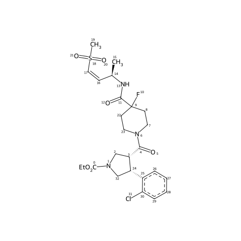 CCOC(=O)N1C[C@H](C(=O)N2CCC(F)(C(=O)N[C@H](C)/C=C\S(C)(=O)=O)CC2)[C@H](c2ccccc2Cl)C1